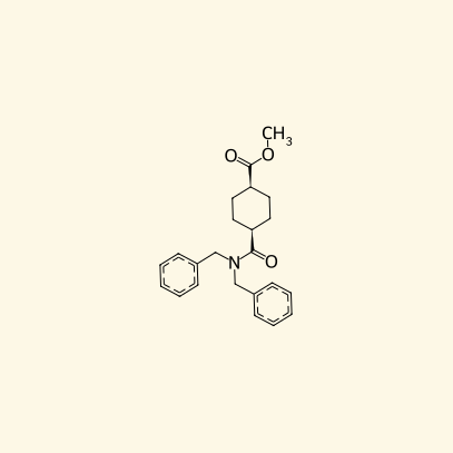 COC(=O)[C@H]1CC[C@@H](C(=O)N(Cc2ccccc2)Cc2ccccc2)CC1